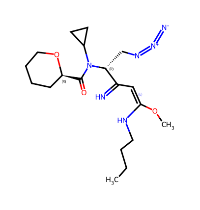 CCCCN/C(=C\C(=N)[C@@H](CN=[N+]=[N-])N(C(=O)[C@H]1CCCCO1)C1CC1)OC